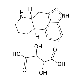 O=C(O)C(O)C(O)C(=O)O.c1cc2c3c(c[nH]c3c1)C[C@H]1NCCC[C@H]21